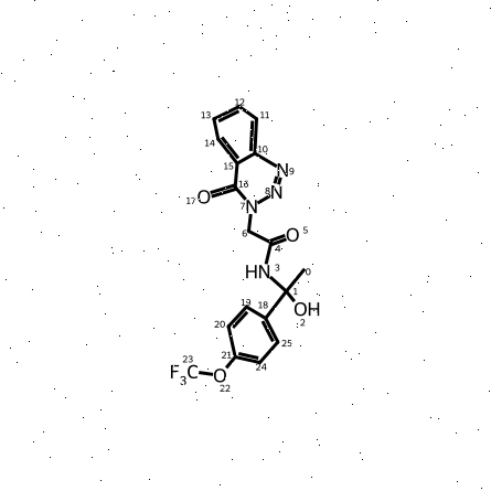 CC(O)(NC(=O)Cn1nnc2ccccc2c1=O)c1ccc(OC(F)(F)F)cc1